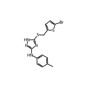 Cc1ccc(Nc2n[nH]c(SCc3ccc(Br)s3)n2)cc1